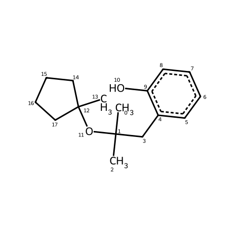 CC(C)(Cc1ccccc1O)OC1(C)CCCC1